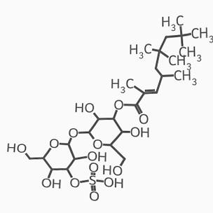 C/C(=C\C(C)CC(C)(C)CC(C)(C)C)C(=O)OC1C(O)C(CO)OC(OC2OC(CO)C(O)C(OS(=O)(=O)O)C2O)C1O